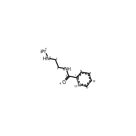 CC(C)NCCNC(=O)c1ccccn1